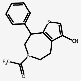 N#Cc1csc2c1CCN(C(=O)C(F)(F)F)CC2c1ccccc1